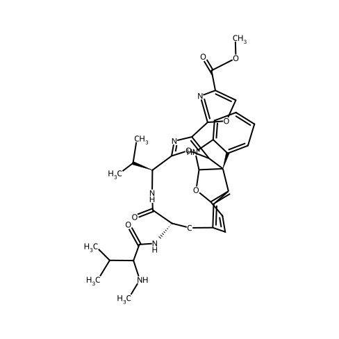 CNC(C(=O)N[C@H]1Cc2ccc3c(c2)[C@@]2(c4ccccc4NC2O3)c2oc(nc2-c2nc(C(=O)OC)co2)[C@H](C(C)C)NC1=O)C(C)C